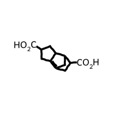 O=C(O)C1CC2=C3CC(C(=O)O)C(C3)C2C1